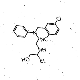 CCC(CO)NCCN(Cc1cc(Cl)ccc1C#N)c1ccccc1